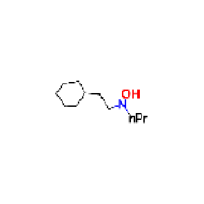 CCCN(O)CCC1CCCCC1